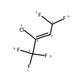 FC(F)C=C(Cl)C(F)(F)F